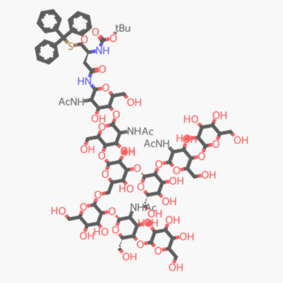 CC(=O)NC1C(NC(=O)C[C@H](NC(=O)OC(C)(C)C)C(=O)SC(c2ccccc2)(c2ccccc2)c2ccccc2)OC(CO)C(OC2OC(CO)C(OC3OC(COC4OC(CO)C(O)C(O)C4O[C@@H]4O[C@@H](CO)C(OC5OC(CO)C(O)C(O)C5O)C(O)C4NC(C)=O)C(O)C(O[C@H]4O[C@@H](CO)C(O)C(O)C4OC4OC(CO)C(OC5OC(CO)C(O)C(O)C5O)C(O)C4NC(C)=O)C3O)C(O)C2NC(C)=O)C1O